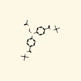 CC(=O)SCP(c1ccc(C(=O)OC(C)(C)C)cc1)c1ccc(C(=O)OC(C)(C)C)cc1